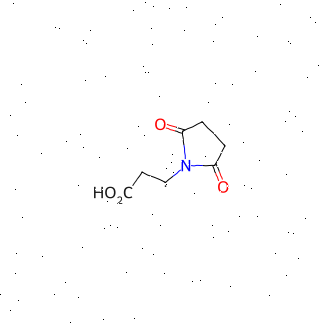 O=C(O)C[CH]N1C(=O)CCC1=O